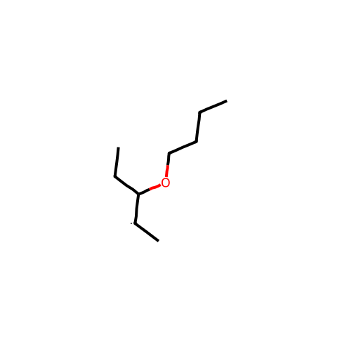 C[CH]C(CC)OCCCC